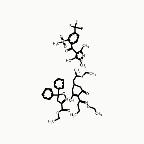 CCCC(=NOCC)C1=C(O)CC(CC(C)SCC)CC1=O.CCOC(=O)C1=NOC(c2ccccc2)(c2ccccc2)C1.Cc1nn(C)c(O)c1C(=O)c1ccc(C(F)(F)F)cc1S(C)(=O)=O